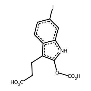 O=C(O)CCc1c(OC(=O)O)[nH]c2cc(I)ccc12